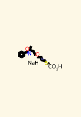 Cc1oc(-c2ccccc2)nc1CCOC/C=C/CSCC(=O)O.[NaH]